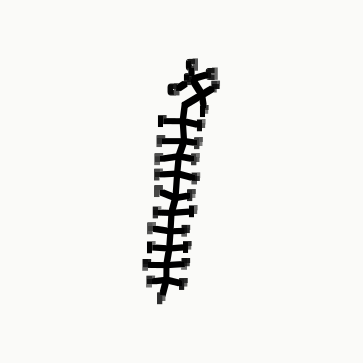 FC(F)(F)C(F)(F)C(F)(F)C(F)(F)C(F)(F)C(F)(F)C(F)(F)C(F)(F)C(F)(F)C(F)(F)CC(F)(F)[Si](Cl)(Cl)Cl